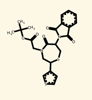 CC(C)(C)OC(=O)CN1CC(c2ccsc2)SCC(N2C(=O)c3ccccc3C2=O)C1=O